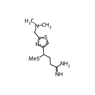 CSC(CCC(=N)N)c1csc(CN(C)C)n1